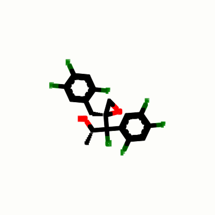 C[C@H](O)C(Cl)(c1cc(F)c(F)cc1F)[C@@]1(Cc2cc(F)c(F)cc2F)CO1